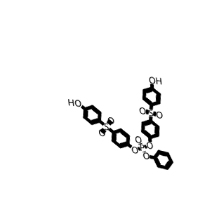 O=P(Oc1ccccc1)(Oc1ccc(S(=O)(=O)c2ccc(O)cc2)cc1)Oc1ccc(S(=O)(=O)c2ccc(O)cc2)cc1